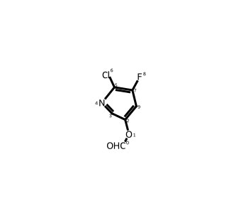 O=COc1cnc(Cl)c(F)c1